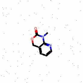 CN1C(=O)OCc2cccnc21